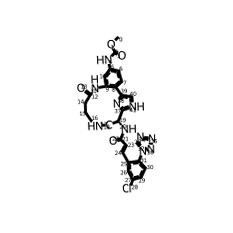 COC(=O)Nc1ccc2c(c1)NC(=O)CCCNC[C@H](NC(=O)C=Cc1cc(Cl)ccc1-n1cnnn1)c1nc-2c[nH]1